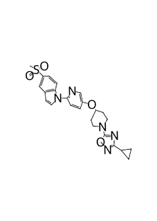 CS(=O)(=O)c1ccc2c(ccn2-c2ccc(OC3CCN(c4nc(C5CC5)no4)CC3)cn2)c1